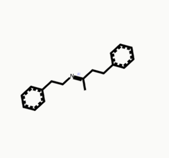 C/C(CCc1ccccc1)=N\CCc1ccccc1